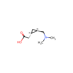 CN(C)C[C@@H]1C[C@H]1CC(=O)O